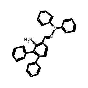 Nc1c(C=NN(c2ccccc2)c2ccccc2)ccc(-c2ccccc2)c1-c1ccccc1